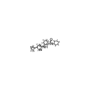 O=C(Nc1ccccc1)c1cccc(Nc2ncc(-c3ccsc3)cn2)c1